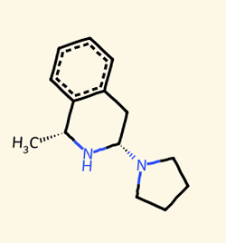 C[C@H]1N[C@@H](N2CCCC2)Cc2ccccc21